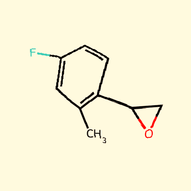 Cc1cc(F)ccc1C1CO1